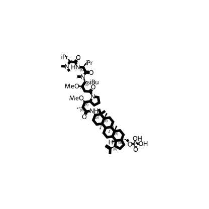 C=C(C)[C@@H]1CC[C@]2(COP(=O)(O)O)CC[C@]3(C)C(CCC4[C@@]5(C)CC[C@H](NC(=O)[C@H](C)[C@@H](OC)C6CCCN6C(=O)C[C@@H](OC)[C@H]([C@@H](C)CC)N(C)C(=O)[C@@H](NC(=O)[C@H](C(C)C)N(C)C)C(C)C)C(C)(C)[C@]5(C)CC[C@]43C)[C@@H]12